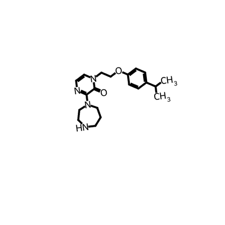 CC(C)c1ccc(OCCn2ccnc(N3CCCNCC3)c2=O)cc1